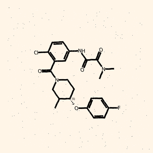 CC1CN(C(=O)c2cc(NC(=O)C(=O)N(C)C)ccc2Cl)CC[C@@H]1Oc1ccc(F)cc1